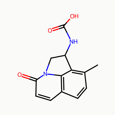 Cc1ccc2ccc(=O)n3c2c1C(NC(=O)O)C3